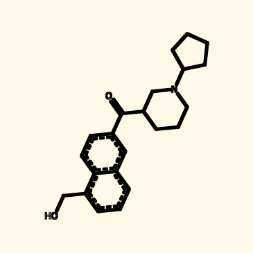 O=C(c1ccc2c(CO)cccc2c1)C1CCCN(C2CCCC2)C1